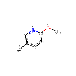 COc1ccc(C)[c]n1